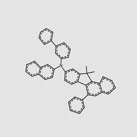 CC1(C)c2cc(N(c3cccc(-c4ccccc4)c3)c3ccc4ccccc4c3)ccc2-c2c(-c3ccccc3)cc3ccccc3c21